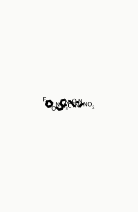 C[C@]1(CN2CCc3nc(Oc4ccc(F)cc4)ccc3C2)Cn2cc([N+](=O)[O-])nc2O1